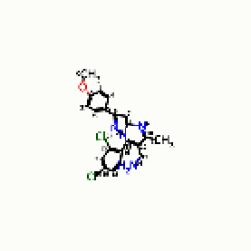 COc1ccc(-c2cc3nc(C)c(CN)c(-c4ccc(Cl)cc4Cl)n3n2)cc1